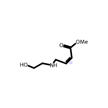 COC(=O)/C=C\CNCCO